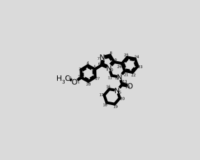 COc1ccc(-c2ncc3n2CN(C(=O)N2CCCCC2)c2ccccc2-3)cc1